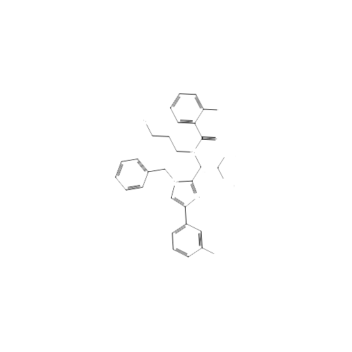 CC(C)[C@H](c1nc(-c2cccc(Cl)c2)cn1Cc1ccccc1)N(CCCN)C(=O)c1ccccc1Cl